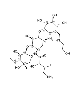 CN[C@@H]1[C@@H](O)[C@@H](O[C@H]2[C@H](NC(=O)C(O)C(F)CN)C[C@H](N)C(O[C@H]3O[C@H](CNCCO)[C@@H](O)[C@H](O)[C@H]3O)[C@@H]2O)OC[C@]1(C)O